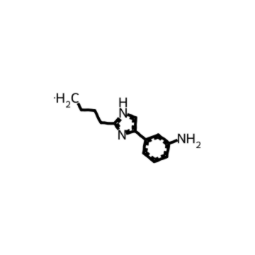 [CH2]CCCc1nc(-c2cccc(N)c2)c[nH]1